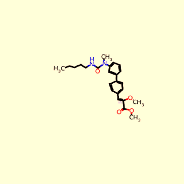 CCCCCNC(=O)N(C)c1cccc(-c2ccc(/C=C(\OC)C(=O)OC)cc2)c1